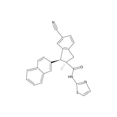 C[C@@]1(C(=O)Nc2nccs2)Cc2ccc(C#N)cc2[C@@H]1c1ccc2ccccc2c1